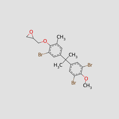 COc1c(Br)cc(C(C)(C)c2cc(C)c(OCC3CO3)c(Br)c2)cc1Br